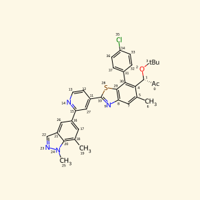 CC(=O)[C@@H](OC(C)(C)C)c1c(C)cc2nc(-c3ccnc(-c4cc(C)c5c(cnn5C)c4)c3)sc2c1-c1ccc(Cl)cc1